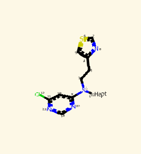 CCCCCCCN(CCc1cs[c]n1)c1cc(Cl)ncn1